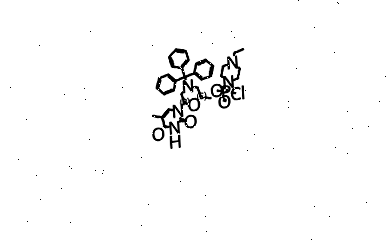 CCN1CCN(P(=O)(Cl)OC[C@@H]2CN(C(c3ccccc3)(c3ccccc3)c3ccccc3)C[C@H](n3cc(C)c(=O)[nH]c3=O)O2)CC1